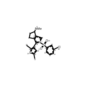 CNC1CCc2c1cn(S(=O)(=O)c1cccc(Cl)c1)c2-c1cc(C)sc1C